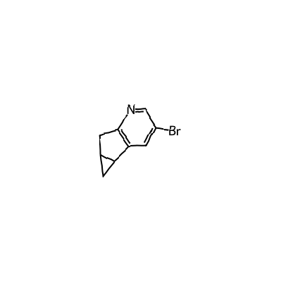 Brc1cnc2c(c1)C1CC1C2